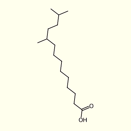 CC(C)CCC(C)CCCCCCCCC(=O)O